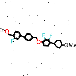 CCOCc1ccc(-c2ccc(COc3ccc(C4CCC(OC)CC4)c(F)c3F)cc2)cc1F